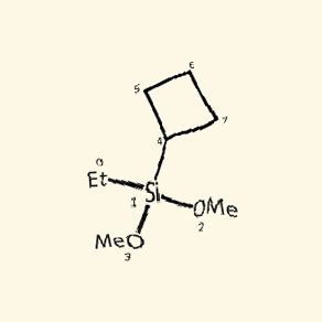 CC[Si](OC)(OC)C1CCC1